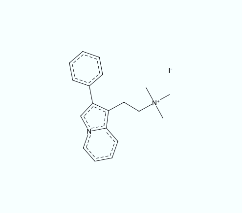 C[N+](C)(C)CCc1c(-c2ccccc2)cn2ccccc12.[I-]